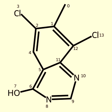 Cc1c(Cl)cc2c(O)ncnc2c1Cl